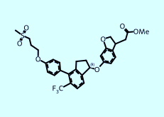 COC(=O)CC1COc2cc(O[C@@H]3CCc4c3ccc(C(F)(F)F)c4-c3ccc(OCCCS(C)(=O)=O)cc3)ccc21